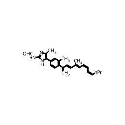 C=C(/C=C/C(C)=C/C=C\C=C/CCC)c1ccc(-c2[nH]c(NC=O)nc2C)cc1C